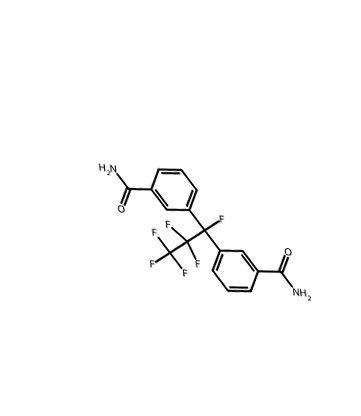 NC(=O)c1cccc(C(F)(c2cccc(C(N)=O)c2)C(F)(F)C(F)(F)F)c1